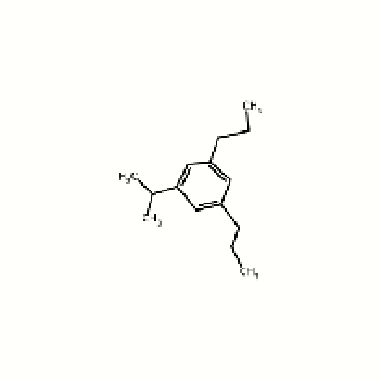 CCCc1cc(CCC)cc([C](C)C)c1